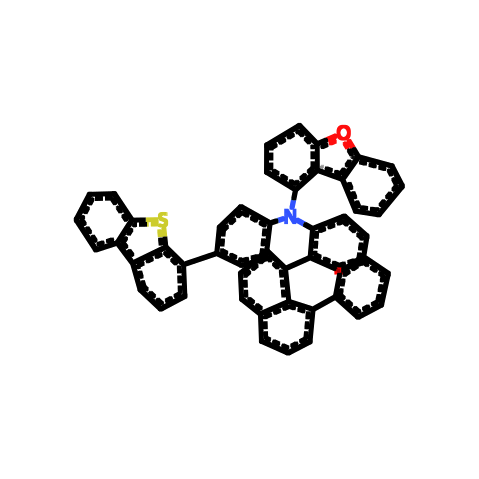 c1ccc(-c2cccc3cccc(-c4ccccc4N(c4ccc(-c5cccc6c5sc5ccccc56)cc4)c4cccc5oc6ccccc6c45)c23)cc1